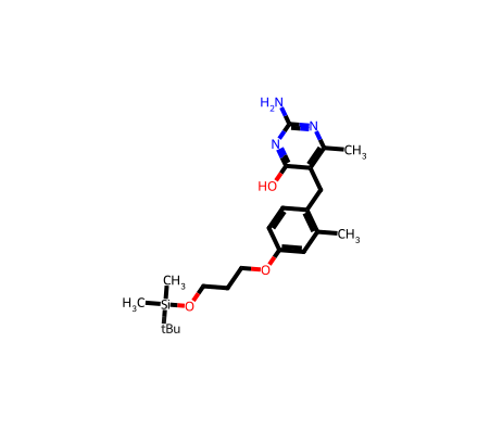 Cc1cc(OCCCO[Si](C)(C)C(C)(C)C)ccc1Cc1c(C)nc(N)nc1O